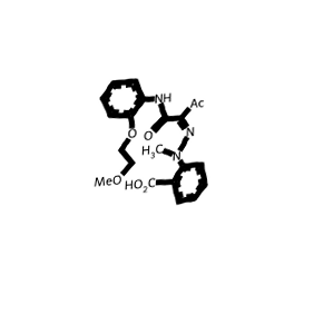 COCCOc1ccccc1NC(=O)/C(=N\N(C)c1ccccc1C(=O)O)C(C)=O